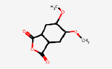 COC1CC2C(=O)OC(=O)C2CC1OC